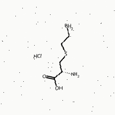 BCCSC[C@H](N)C(=O)O.Cl